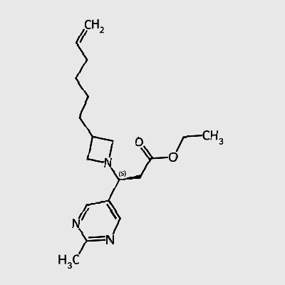 C=CCCCCC1CN([C@@H](CC(=O)OCC)c2cnc(C)nc2)C1